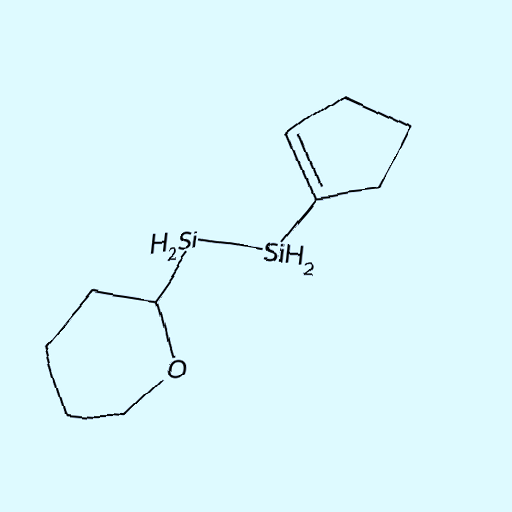 C1=C([SiH2][SiH2]C2CCCCO2)CCC1